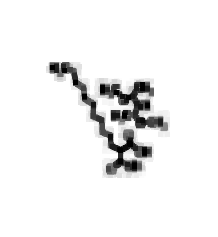 CCCCCCCCCCCC(C(=O)O)C(=O)O.COC(C)NC(C)OC